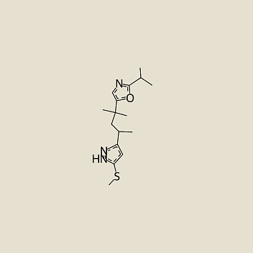 CSc1cc(C(C)CC(C)(C)c2cnc(C(C)C)o2)n[nH]1